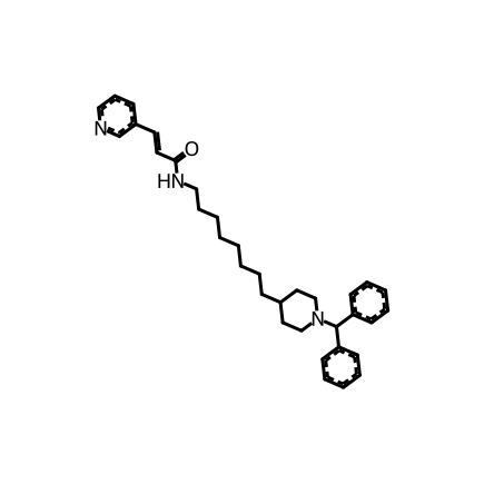 O=C(C=Cc1cccnc1)NCCCCCCCCC1CCN(C(c2ccccc2)c2ccccc2)CC1